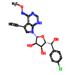 C#Cc1cn([C@@H]2O[C@H](C(O)c3ccc(Cl)cc3)[C@@H](O)[C@H]2O)c2[nH]cn/c(=N\OC)c12